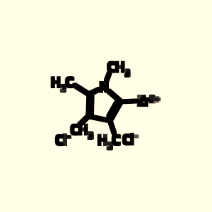 Cc1c(C)[c]([Zr+2])n(C)c1C.[Cl-].[Cl-]